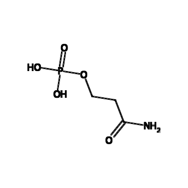 NC(=O)CCOP(=O)(O)O